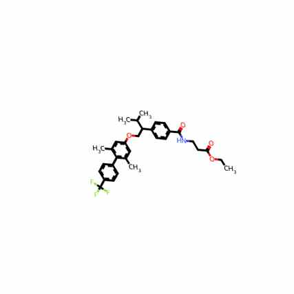 CCOC(=O)CCNC(=O)c1ccc(C(COc2cc(C)c(-c3ccc(C(F)(F)F)cc3)c(C)c2)C(C)C)cc1